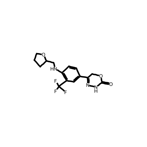 O=C1NN=C(c2ccc(NCC3CCCO3)c(C(F)(F)F)c2)CO1